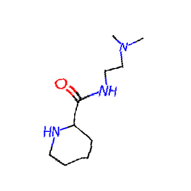 CN(C)CCNC(=O)C1CCCCN1